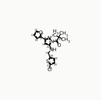 CC(C)(C)C(=O)n1nc(-c2ccco2)cc1NCc1ccc(Cl)s1